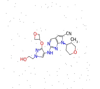 C[C@@H]1COCC[C@H]1n1c(C#N)cc2cnc(Nc3cn(CCO)nc3OC3COC3)nc21